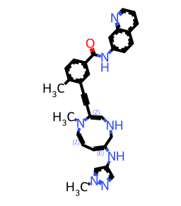 Cc1ccc(C(=O)Nc2ccc3cccnc3c2)cc1C#C/C1=C/NC/C(Nc2cnn(C)c2)=C\C=C/N1C